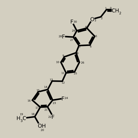 C=CCOc1ccc(-c2ccc(CCc3ccc(C(C)O)c(F)c3F)cc2)c(F)c1F